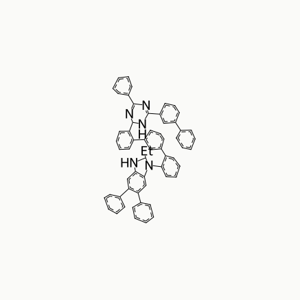 CCC1Nc2cc(-c3ccccc3)c(-c3ccccc3)cc2N1c1ccccc1-c1cccc(-c2ccccc2C2N=C(c3ccccc3)N=C(c3cccc(-c4ccccc4)c3)N2)c1